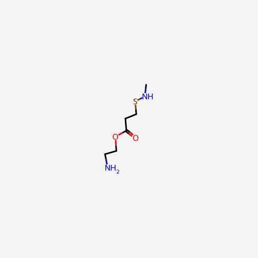 CNSCCC(=O)OCCN